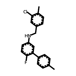 Cc1ccc(-c2cc(NCc3ccc(C)c(Cl)c3)ccc2F)cc1